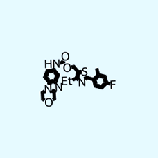 CCc1nc(-c2ccc(F)cc2C)sc1COC(=O)Nc1ccc2c(c1)nc1n2CCOC1